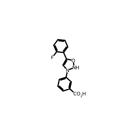 O=C(O)c1cccc(N2C=C(c3ccccc3F)ON2)c1